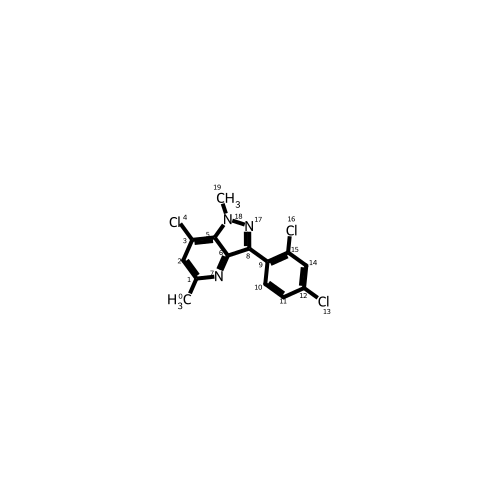 Cc1cc(Cl)c2c(n1)c(-c1ccc(Cl)cc1Cl)nn2C